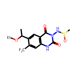 CCOC(C)c1cc2c(=O)n(N[S+](C)[O-])c(=O)[nH]c2cc1C(F)(F)F